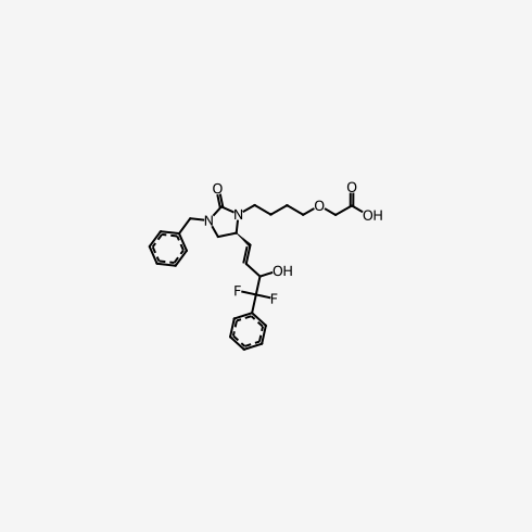 O=C(O)COCCCCN1C(=O)N(Cc2ccccc2)C[C@@H]1C=CC(O)C(F)(F)c1ccccc1